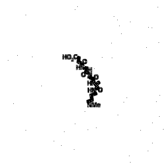 CNCCCCNC(=O)C(C)NC(=O)CNC(=O)CNC(=O)CCC(=O)O